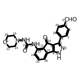 O=Cc1ccc(-c2n[nH]c3c2C(=O)c2c(NC(=O)NN4CCOCC4)cccc2-3)cc1